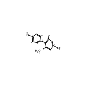 Cc1cc(O)cc(C)c1-c1ccc(O)cc1.O